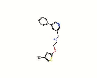 N#Cc1csc(OCCNCc2cncc(-c3ccccc3)c2)c1